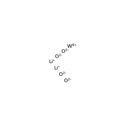 [Li+].[Li+].[O-2].[O-2].[O-2].[O-2].[W+6]